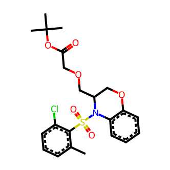 Cc1cccc(Cl)c1S(=O)(=O)N1c2ccccc2OCC1COCC(=O)OC(C)(C)C